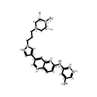 CC(=O)N1[C@H](C)CN(CCCn2cc(-c3cnc4ccc(Nc5cc(C(C)C)cnn5)nc4c3)cn2)C[C@@H]1C